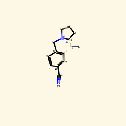 CC[C@H]1CCCN1Cc1ccc(C#N)cc1